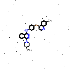 COC1CCN(c2nnc(Nc3ccc(Sc4ccnc5cc(C#N)ccc45)cc3)c3ccccc23)CC1